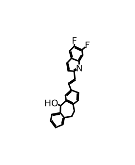 OC1c2ccccc2CCc2ccc(C=Cc3ccc4cc(F)c(F)cc4n3)cc21